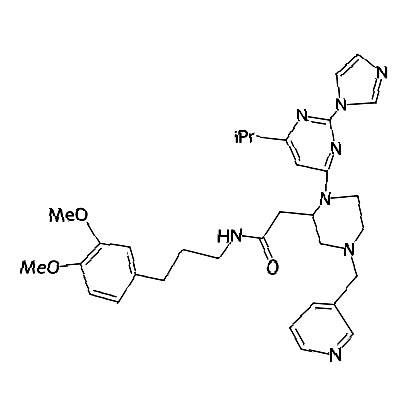 COc1ccc(CCCNC(=O)CC2CN(Cc3cccnc3)CCN2c2cc(C(C)C)nc(-n3ccnc3)n2)cc1OC